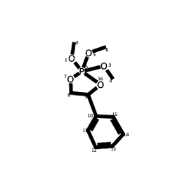 COP1(OC)(OC)OCC(c2ccccc2)O1